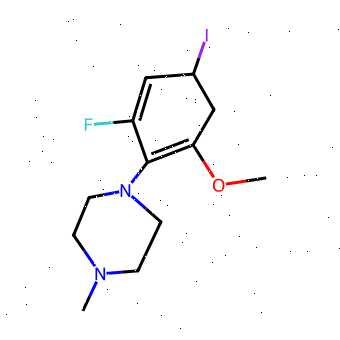 COC1=C(N2CCN(C)CC2)C(F)=CC(I)C1